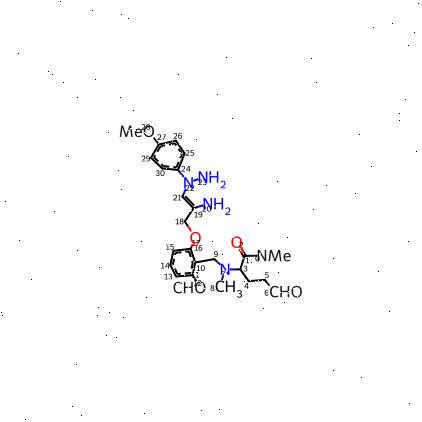 CNC(=O)C(CCC=O)N(C)Cc1c(C=O)cccc1OC/C(N)=C/N(N)c1ccc(OC)cc1